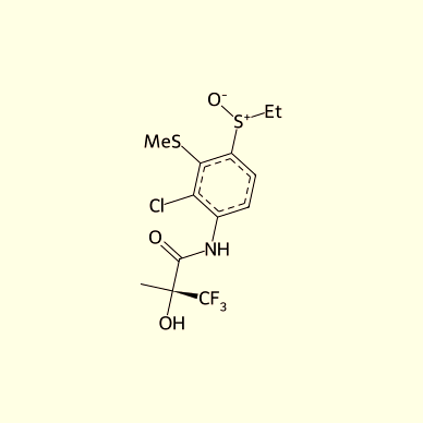 CC[S+]([O-])c1ccc(NC(=O)[C@@](C)(O)C(F)(F)F)c(Cl)c1SC